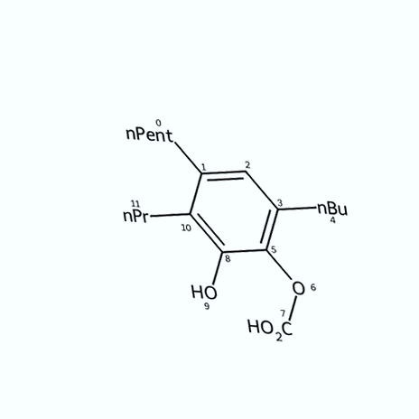 CCCCCc1cc(CCCC)c(OC(=O)O)c(O)c1CCC